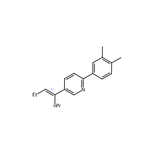 CC/C=C(\CCC)c1ccc(-c2ccc(C)c(C)c2)nc1